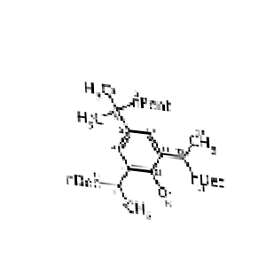 CCCCCCCCCCC(C)c1cc(C(C)(C)CCCCC)cc(C(C)CCCCCCCCCC)c1[O]